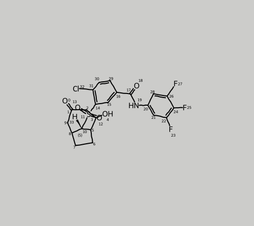 O=C1CC(O)C2CCC(C1)[C@@H]2S(=O)(=O)c1cc(C(=O)Nc2cc(F)c(F)c(F)c2)ccc1Cl